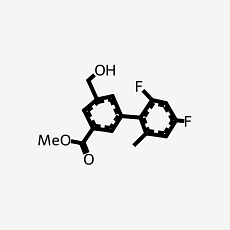 COC(=O)c1cc(CO)cc(-c2c(C)cc(F)cc2F)c1